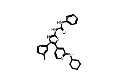 Cc1cccc(-c2nc(NC(=O)Nc3ccccc3)sc2-c2ccnc(NC3CCCCC3)c2)c1